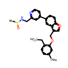 COc1ccc(CC(=O)O)c(OCc2coc3ccc(-c4ccnc(CN[S+]([O-])C(C)(C)C)c4)cc23)c1